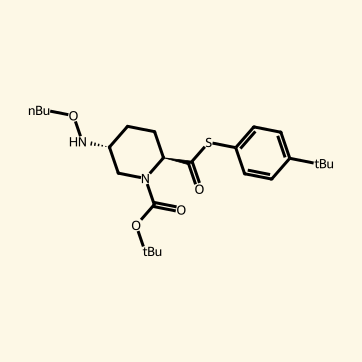 CCCCON[C@@H]1CC[C@@H](C(=O)Sc2ccc(C(C)(C)C)cc2)N(C(=O)OC(C)(C)C)C1